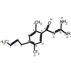 C/C=C/Cc1cc(C)c(C(=O)N=C(N)N)cc1C(F)(F)F